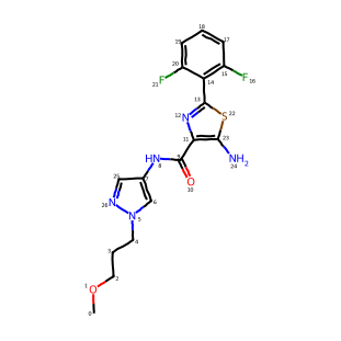 COCCCn1cc(NC(=O)c2nc(-c3c(F)cccc3F)sc2N)cn1